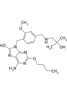 CCCCOc1nc(N)c2nc(O)n(Cc3ccc(CNCC(C)(C)O)cc3OC)c2n1